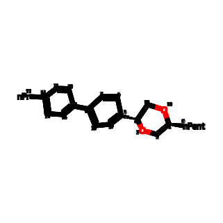 CCCCC[C@H]1CO[C@H](c2ccc(-c3ccc(CCC)cc3)cc2)CO1